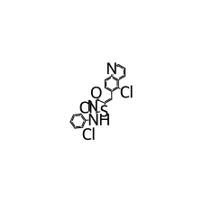 O=C1N=C(Nc2c(Cl)cccc2Cl)SC1=Cc1ccc2ncccc2c1Cl